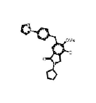 COc1c(Cc2ccc(-n3cccn3)cc2)cc2c(c1Cl)CN(C1CCCC1)C2=O